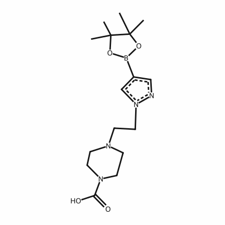 CC1(C)OB(c2cnn(CCN3CCN(C(=O)O)CC3)c2)OC1(C)C